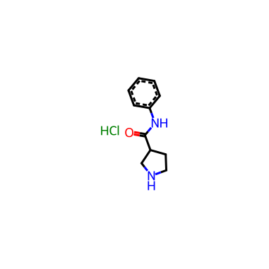 Cl.O=C(Nc1ccccc1)C1CCNC1